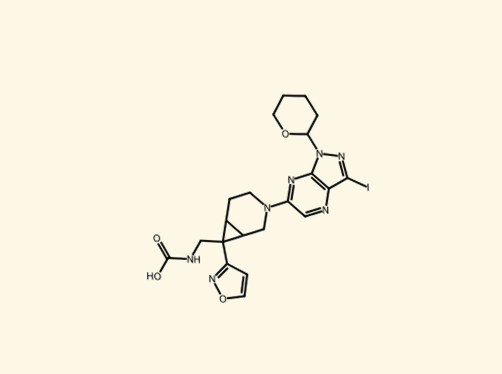 O=C(O)NCC1(c2ccon2)C2CCN(c3cnc4c(I)nn(C5CCCCO5)c4n3)CC21